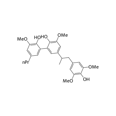 CCCc1cc(OC)c(O)c(-c2cc(C(C)Cc3cc(OC)c(O)c(OC)c3)cc(OC)c2O)c1